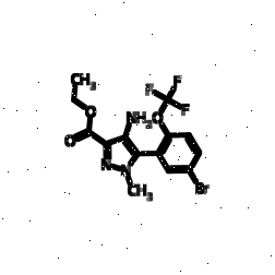 CCOC(=O)c1nn(C)c(-c2cc(Br)ccc2OC(F)(F)F)c1N